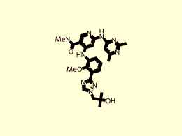 CNC(=O)c1cnc(Nc2cc(C)nc(C)n2)cc1Nc1cccc(-c2ncn(CC(C)(C)O)n2)c1OC